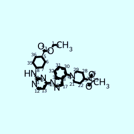 CCOC(=O)[C@H]1CC[C@H](Nc2nccc(-n3ncc4c(N5CCC(S(C)(=O)=O)CC5)cccc43)n2)CC1